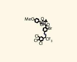 COc1ccc(N(C)C(=O)C2(NC(=O)c3ccc(/C=C/C(c4cc(Cl)c(Cl)c(Cl)c4)C(F)(F)F)cc3Br)CC2)cc1